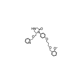 COc1ccccc1COCCCOc1ccc(N2C(=O)CNC[C@@H]2COCc2ccccn2)cc1